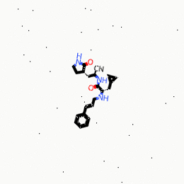 N#C[C@H](C[C@@H]1CCNC1=O)NC(=O)[C@H](CC1CC1)NC/C=C/c1ccccc1